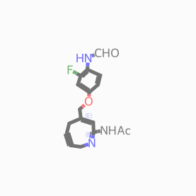 CC(=O)NC1=N/CC#CC/C(COc2ccc(NC=O)c(F)c2)=C\1